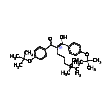 CC(C)(C)Oc1ccc(C(=O)/C(CCC[Si](C)(C)C)=C(\O)c2ccc(OC(C)(C)C)cc2)cc1